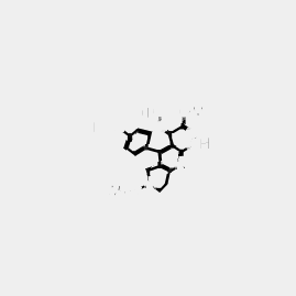 COC(=O)C(OC(C)(C)C)c1c(C)nc2c(c1-c1ccc(C)cc1)CN(SC)CC2